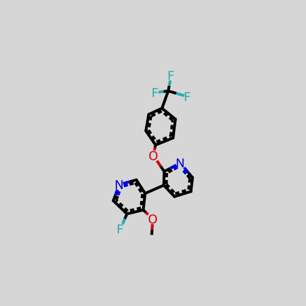 COc1c(F)cncc1-c1cccnc1Oc1ccc(C(F)(F)F)cc1